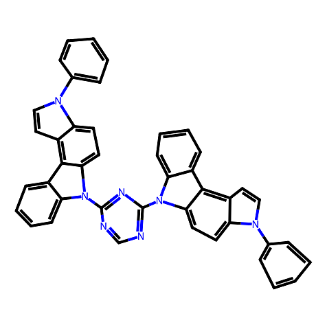 c1ccc(-n2ccc3c4c5ccccc5n(-c5ncnc(-n6c7ccccc7c7c8ccn(-c9ccccc9)c8ccc76)n5)c4ccc32)cc1